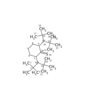 CC(C)(C)P(C1CCCC(P(C(C)(C)C)C(C)(C)C)C1=S)C(C)(C)C